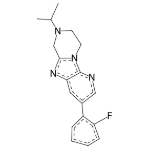 CC(C)N1CCn2c(nc3cc(-c4ccccc4F)cnc32)C1